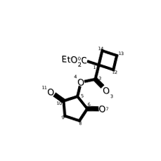 CCOC(=O)C1(C(=O)OC2C(=O)CCC2=O)CCC1